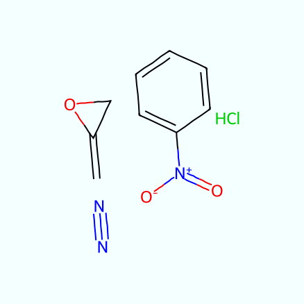 C=C1CO1.Cl.N#N.O=[N+]([O-])c1ccccc1